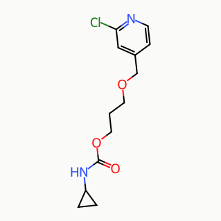 O=C(NC1CC1)OCCCOCc1ccnc(Cl)c1